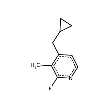 Cc1c(CC2CC2)ccnc1F